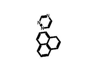 C1=Cc2cccc3cccc(c23)C1.c1cnncn1